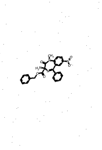 CN1C(=O)C(N)(C(=O)OCc2ccccc2)N=C(c2ccccc2)c2cc([N+](=O)[O-])ccc21